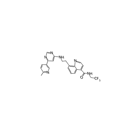 Cc1ccc(-c2cc(NCCc3cccc4c(C(=O)NCC(F)(F)F)ccnc34)ncn2)cn1